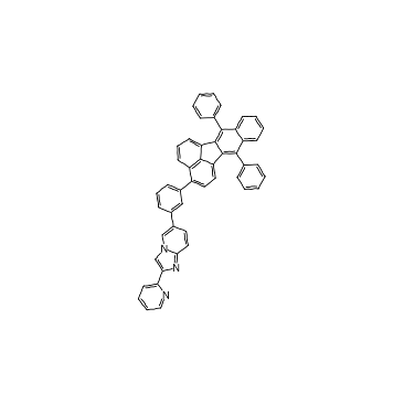 c1ccc(-c2c3c(c(-c4ccccc4)c4ccccc24)-c2ccc(-c4cccc(-c5ccc6nc(-c7ccccn7)cn6c5)c4)c4cccc-3c24)cc1